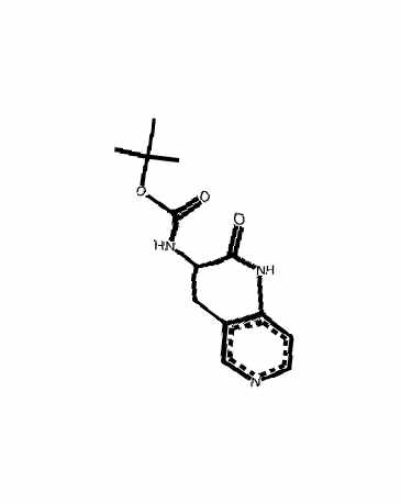 CC(C)(C)OC(=O)NC1Cc2cnccc2NC1=O